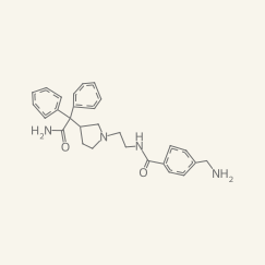 NCc1ccc(C(=O)NCCN2CCC(C(C(N)=O)(c3ccccc3)c3ccccc3)C2)cc1